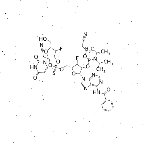 CC(C)N(C(C)C)P(OCCC#N)OC1C(F)[C@@H](COP(=S)(OCCC#N)OC2C(F)[C@@H](CO)O[C@H]2n2ccc(=O)[nH]c2=O)O[C@H]1n1cnc2c(NC(=O)c3ccccc3)ncnc21